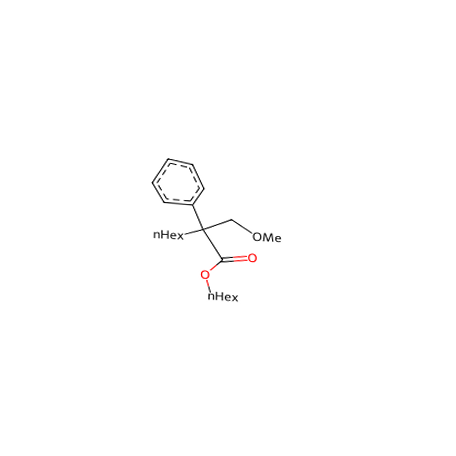 CCCCCCOC(=O)C(CCCCCC)(COC)c1ccccc1